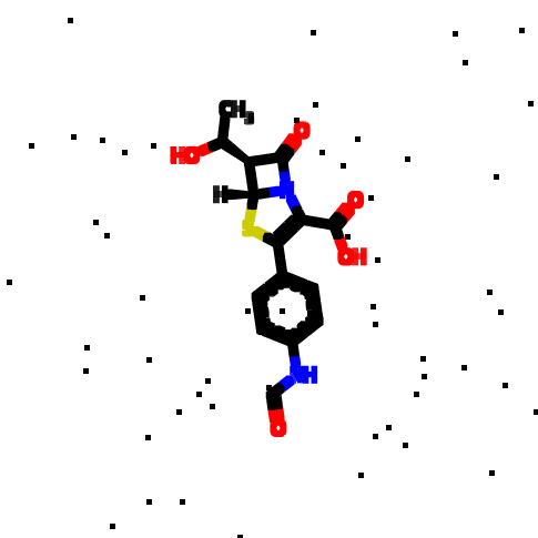 CC(O)[C@H]1C(=O)N2C(C(=O)O)=C(c3ccc(NC=O)cc3)S[C@H]12